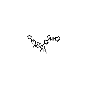 Cc1oc(-c2ccc(C(=O)NCc3cccnc3)cc2)nc1CS(=O)(=O)C1CCN(C2CCCC2)CC1